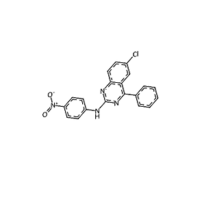 O=[N+]([O-])c1ccc(Nc2nc(-c3ccccc3)c3cc(Cl)ccc3n2)cc1